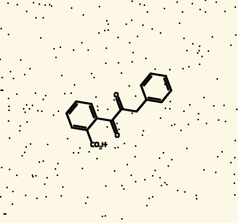 O=C(Cc1ccccc1)C(=O)c1ccccc1C(=O)O